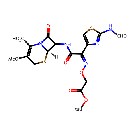 COC1=C(C(=O)O)N2C(=O)C(NC(=O)/C(=N\OCC(=O)OC(C)(C)C)c3csc(NC=O)n3)[C@H]2SC1